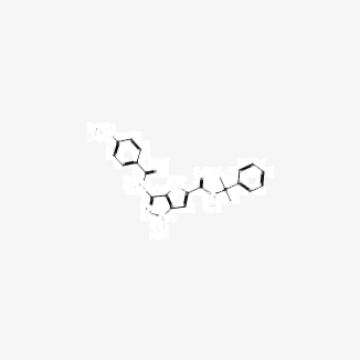 CC(C)(NC(=O)c1cc2[nH]nc(NC(=O)c3ccc(C#N)cc3)c2o1)c1ccccc1